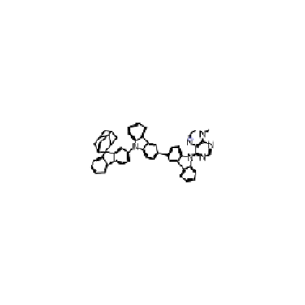 C=Nc1ncnc(-n2c3ccccc3c3cc(-c4ccc5c(c4)c4ccccc4n5-c4ccc5c(c4)C4(c6ccccc6-5)C5CC6CC(C5)CC4C6)ccc32)c1/N=C\C